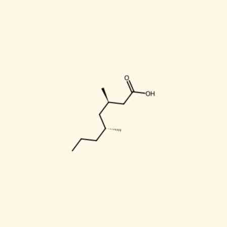 CCC[C@@H](C)C[C@@H](C)CC(=O)O